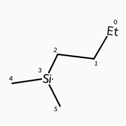 CCCC[Si](C)C